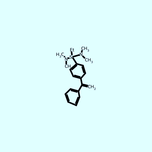 C=C(c1ccccc1)c1ccc([Si](CC)(N(C)C)N(C)C)cc1